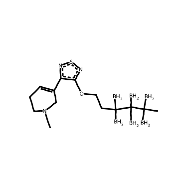 BC(B)(C)C(B)(B)C(B)(B)CCOc1nsnc1C1=CCCN(C)C1